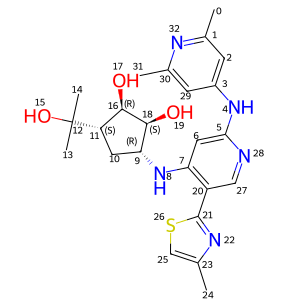 Cc1cc(Nc2cc(N[C@@H]3C[C@H](C(C)(C)O)[C@@H](O)[C@H]3O)c(-c3nc(C)cs3)cn2)cc(C)n1